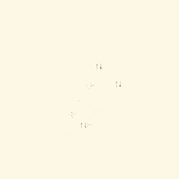 O=C1NC(=O)/C(=C\c2cc3cncc(N4CCCCC4)c3o2)S1